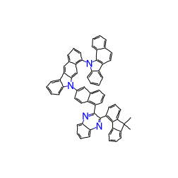 CC1(C)c2ccccc2-c2c(-c3nc4ccccc4nc3-c3cccc4cc(-n5c6ccccc6c6cc7cccc(-n8c9ccccc9c9ccc%10ccccc%10c98)c7cc65)ccc34)cccc21